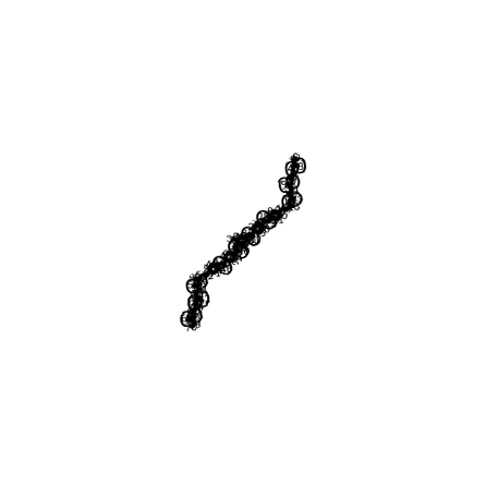 C=CC(=O)OCCOC(=O)CCC(=O)OC(C)CCc1ccc(OC(=O)[C@H]2CC[C@H](C(=O)Oc3cc(C)c(OC(=O)[C@H]4CC[C@H](C(=O)Oc5ccc(CCC(C)OC(=O)CCC(=O)OCCOC(=O)C=C)cc5)CC4)c(C)c3C)CC2)cc1